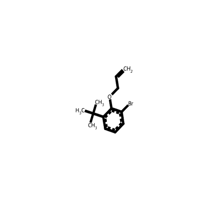 C=CCOc1c(Br)cccc1C(C)(C)C